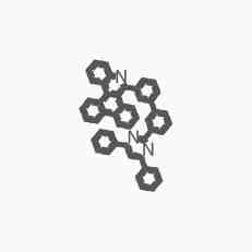 c1ccc(-c2cc(-c3ccccc3)nc(-c3cccc(-c4cccc(-c5nc6ccccc6c6c7ccccc7c7ccccc7c56)c4)c3)n2)cc1